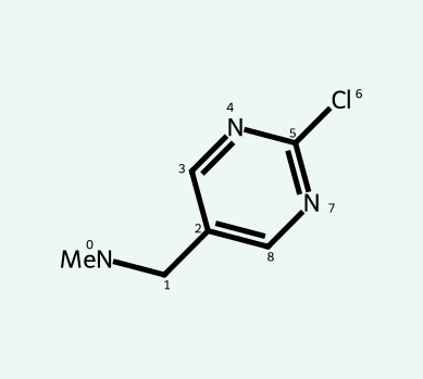 CNCc1cnc(Cl)nc1